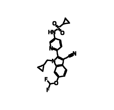 N#Cc1c(-c2ccc(NS(=O)(=O)C3CC3)cn2)n(CC2CC2)c2cc(OC(F)F)ccc12